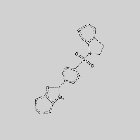 O=S(=O)(c1ccc(-c2nc3ccccc3[nH]2)cc1)N1CCc2ccccc21